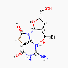 CCC(O)[C@@H]1C[C@@H](CO)O[C@H]1n1c(=O)sc2c(=O)[nH]c(N)nc21